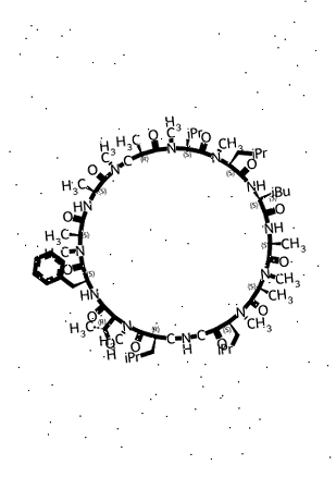 CC[C@H](C)[C@@H]1NC(=O)[C@H](CC(C)C)N(C)C(=O)[C@H](C(C)C)N(C)C(=O)[C@H](C)CN(C)C(=O)[C@H](C)NC(=O)[C@H](C)N(C)C(=O)[C@H](Cc2ccccc2)NC(=O)C([C@@H](C)O)N(C)C(=O)[C@H](CC(C)C)CNCC(=O)[C@H](CC(C)C)N(C)C(=O)[C@H](C)N(C)C(=O)[C@H](C)NC1=O